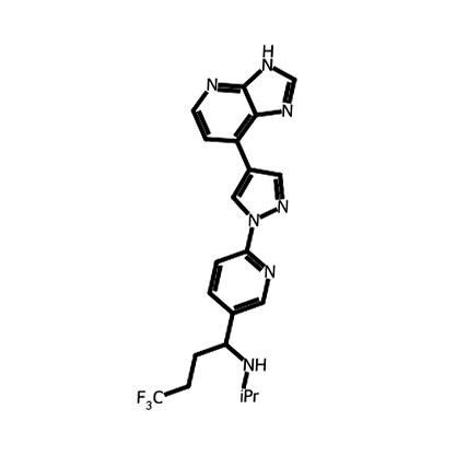 CC(C)NC(CCC(F)(F)F)c1ccc(-n2cc(-c3ccnc4[nH]cnc34)cn2)nc1